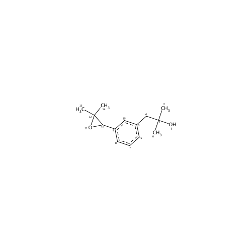 CC(C)(O)Cc1cccc(C2OC2(C)C)c1